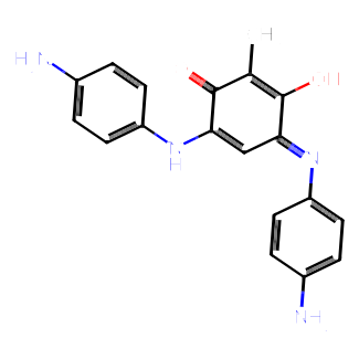 CC1=C(O)C(=Nc2ccc(N)cc2)C=C(Nc2ccc(N)cc2)C1=O